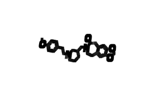 COc1ccc(CCN2CCCC(CN3CCc4cc5c(cc4CC3=O)OCO5)C2)cc1